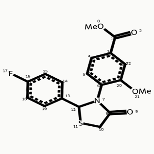 COC(=O)c1ccc(N2C(=O)CSC2c2ccc(F)cc2)c(OC)c1